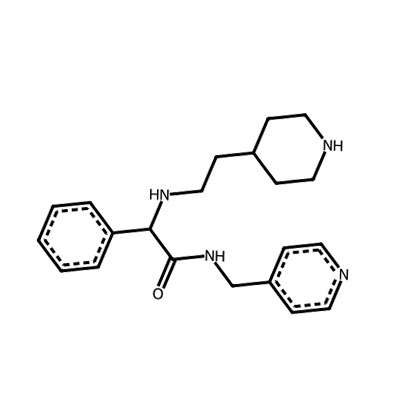 O=C(NCc1ccncc1)C(NCCC1CCNCC1)c1ccccc1